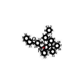 c1ccc(-c2ccc(N(c3cc4oc5c6ccccc6ccc5c4cc3-c3nc4ccccc4s3)c3cccc4c3-c3ccccc3C4(c3ccccc3)c3ccccc3)cc2)cc1